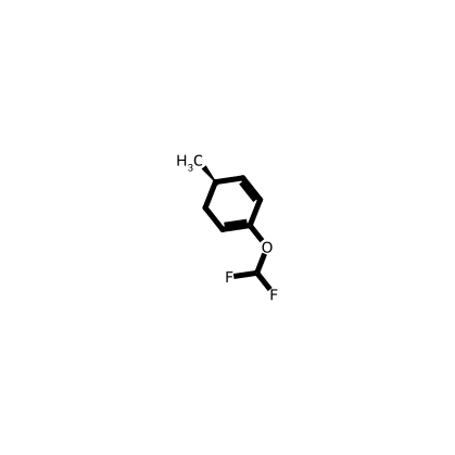 C[C@H]1C=CC(OC(F)F)=CC1